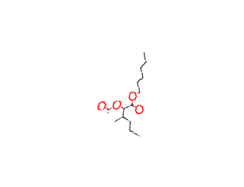 CCCCCCOC(=O)C(O[C]=O)C(C)CCC